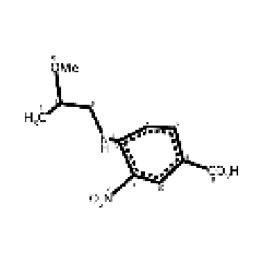 COC(C)CNc1ccc(C(=O)O)cc1[N+](=O)[O-]